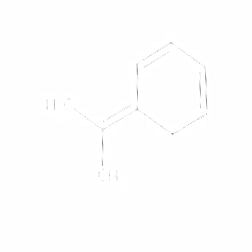 CC(C)=C1[C]=CC=[C]C1